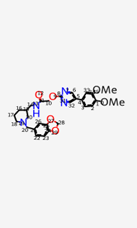 COc1ccc(-c2cnc(OCC(=O)NCC3CCCN(Cc4ccc5c(c4)OCO5)C3)nc2)cc1OC